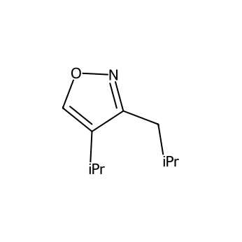 CC(C)Cc1nocc1C(C)C